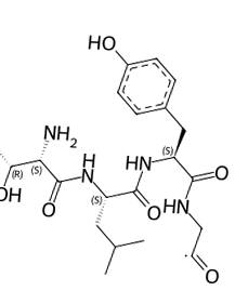 CC(C)C[C@H](NC(=O)[C@@H](N)[C@@H](C)O)C(=O)N[C@@H](Cc1ccc(O)cc1)C(=O)NC[C]=O